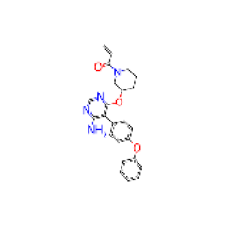 C=CC(=O)N1CCC[C@@H](Oc2ncnc(N)c2-c2ccc(Oc3ccccc3)cc2)C1